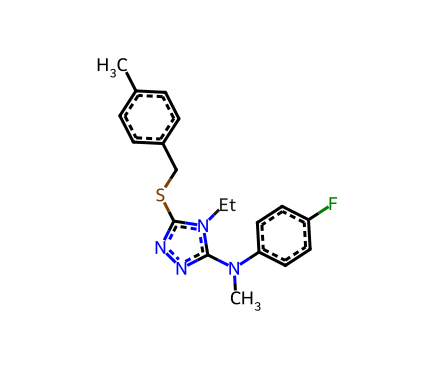 CCn1c(SCc2ccc(C)cc2)nnc1N(C)c1ccc(F)cc1